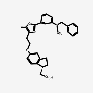 CCCCN(Cc1ccccc1)c1cccc(-c2nc(CCOc3ccc4c(c3)CC[C@H]4CC(=O)O)c(C)o2)c1